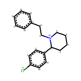 Clc1ccc(C2C[CH]CCN2CCc2ccccc2)cc1